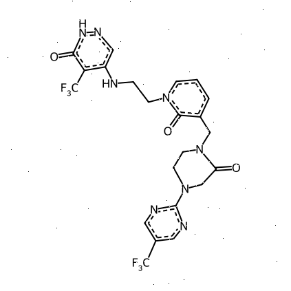 O=C1CN(c2ncc(C(F)(F)F)cn2)CCN1Cc1cccn(CCNc2cn[nH]c(=O)c2C(F)(F)F)c1=O